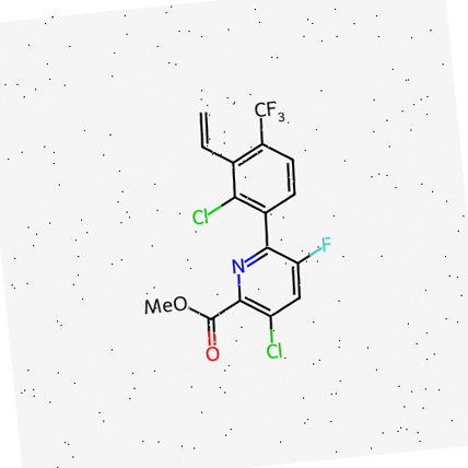 C=Cc1c(C(F)(F)F)ccc(-c2nc(C(=O)OC)c(Cl)cc2F)c1Cl